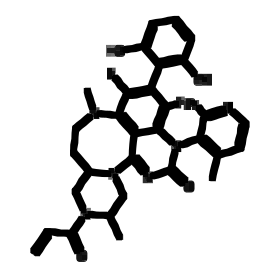 C=CC(=O)N1CC2CCN(C)c3c(F)c(-c4c(O)cccc4O)c(F)c4c3c(nc(=O)n4-c3c(C)ccnc3C(C)C)N2CC1C